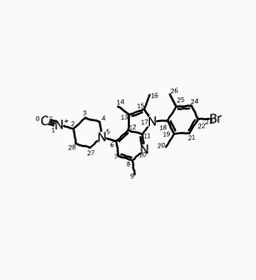 [C-]#[N+]C1CCN(c2cc(C)nc3c2c(C)c(C)n3-c2c(C)cc(Br)cc2C)CC1